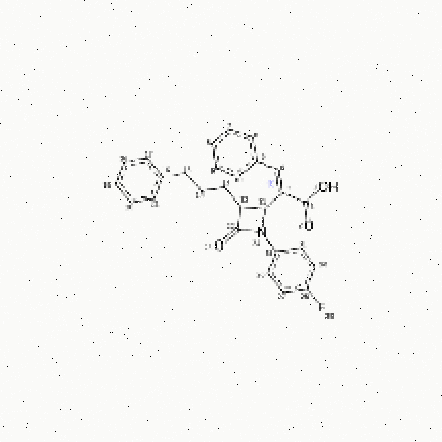 O=C(O)/C(=C/c1ccccc1)C1C(CCCc2ccccc2)C(=O)N1c1ccc(F)cc1